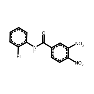 CCc1ccccc1NC(=O)c1ccc([N+](=O)[O-])c([N+](=O)[O-])c1